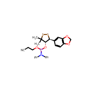 CC(C)N(C(C)C)P(OCCC#N)O[C@H]1[C@H](c2ccc3c(c2)OCO3)SSC1(C)C